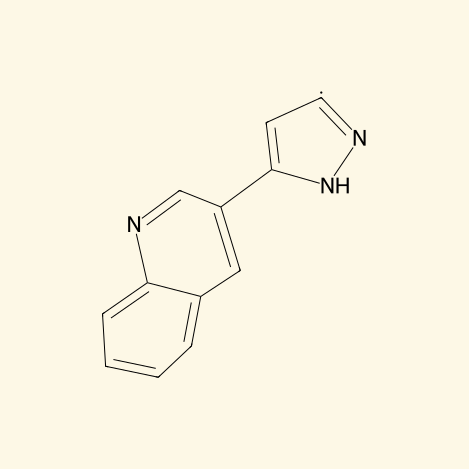 [c]1cc(-c2cnc3ccccc3c2)[nH]n1